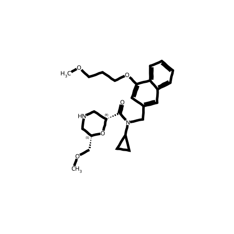 COCCCOc1cc(CN(C(=O)[C@H]2CNC[C@@H](COC)O2)C2CC2)cc2ccccc12